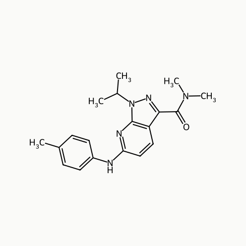 Cc1ccc(Nc2ccc3c(C(=O)N(C)C)nn(C(C)C)c3n2)cc1